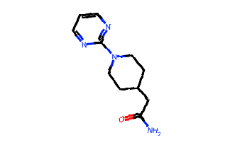 NC(=O)CC1CCN(c2ncccn2)CC1